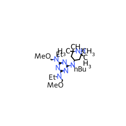 CCCCN(c1nc(N(CC)COC)nc(N(CC)COC)n1)C1CC(C)(C)NC(C)(C)C1